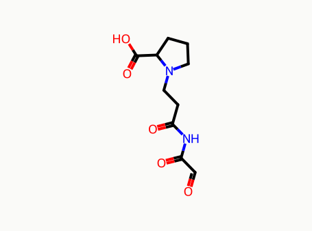 O=CC(=O)NC(=O)CCN1CCCC1C(=O)O